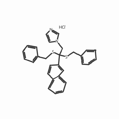 Cl.c1ccc(CSC(Cn2ccnc2)(SCc2ccccc2)c2ccc3ccccc3c2)cc1